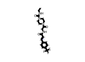 CCNC(=O)N1CCN(C(=O)CNC(=O)/C=C/c2ccc(C(F)(F)F)cc2)CC1